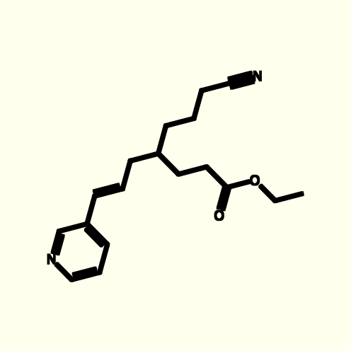 CCOC(=O)CCC(C/C=C/c1cccnc1)CCCC#N